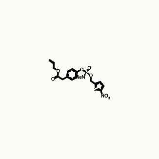 C=CCOC(=O)Cc1ccc(OP(=O)(NC)OCc2ccc([N+](=O)[O-])s2)cc1